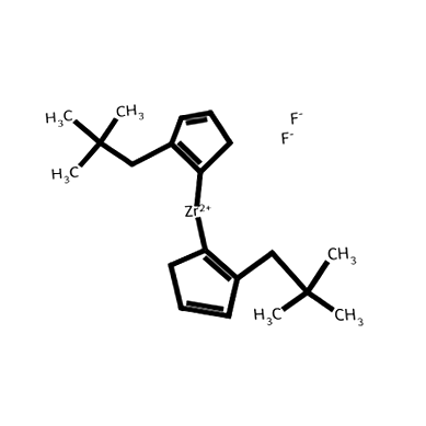 CC(C)(C)CC1=[C]([Zr+2][C]2=C(CC(C)(C)C)C=CC2)CC=C1.[F-].[F-]